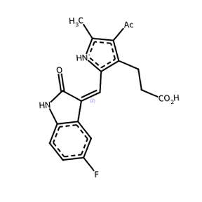 CC(=O)c1c(C)[nH]c(/C=C2\C(=O)Nc3ccc(F)cc32)c1CCC(=O)O